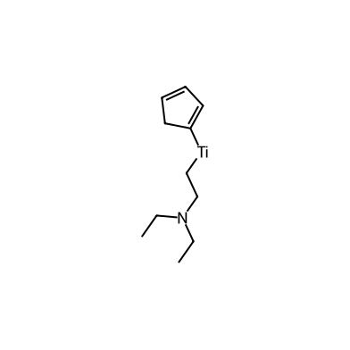 CCN(CC)C[CH2][Ti][C]1=CC=CC1